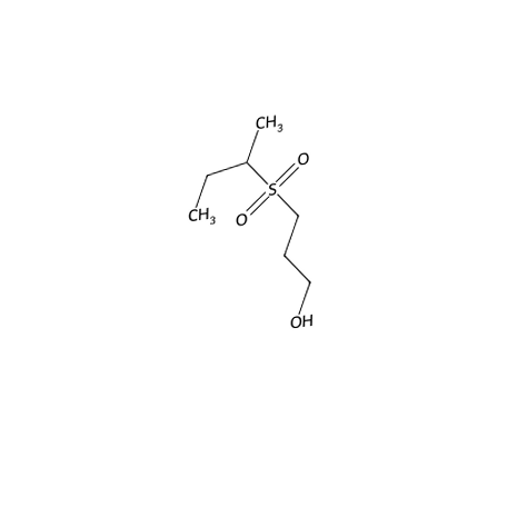 CCC(C)S(=O)(=O)CCCO